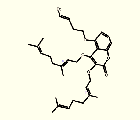 CCC=CCCOc1cccc2oc(=O)c(OC/C=C(\C)CCC=C(C)C)c(OC/C=C(\C)CCC=C(C)C)c12